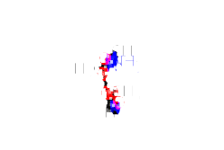 C=C1CN2C(=O)c3cc(C)c(OCCCCCOc4cc5c(cc4OC)C(=O)N4CCC[C@H]4C=C5)cc3N=C[C@]2(N)C1